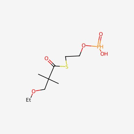 CCOCC(C)(C)C(=O)SCCO[PH](=O)O